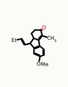 CCC=CC1c2cc(OC)ccc2C2=C(C)C(=O)CCC21